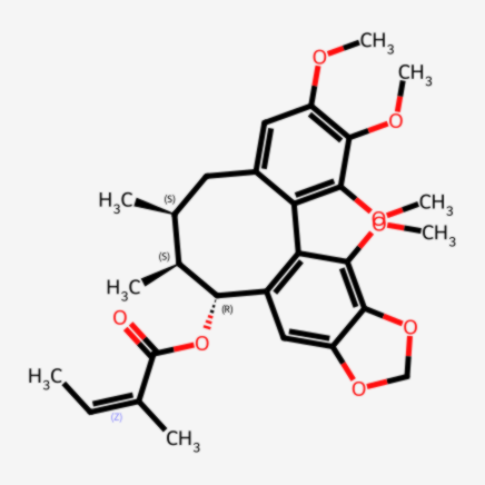 C/C=C(/C)C(=O)O[C@H]1c2cc3c(c(OC)c2-c2c(cc(OC)c(OC)c2OC)C[C@H](C)[C@@H]1C)OCO3